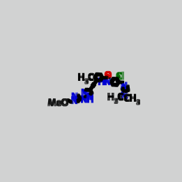 COCCn1cc(Nc2ncc(C#Cc3cc(C(=O)Nc4ccc(CN5CCC(N(C)C)C5)c(Cl)c4)ccc3C)cn2)cn1